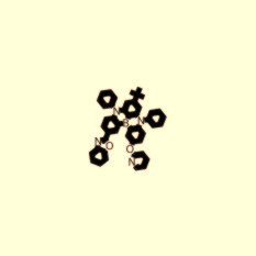 CC(C)(C)c1cc2c3c(c1)N(c1ccccc1)c1ccc(-c4nc5ccccc5o4)cc1B3c1cc(Oc3ccccn3)ccc1N2c1ccccc1